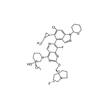 CC1CC1c1c(Cl)cc2c(cnn2C2CCCCO2)c1-c1ncc2c(N3CCC[C@@](C)(O)C3)nc(OC[C@@]34CCCN3C[C@H](F)C4)nc2c1F